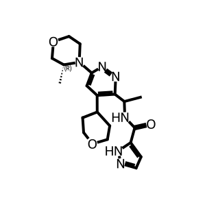 CC(NC(=O)c1ccn[nH]1)c1nnc(N2CCOC[C@H]2C)cc1C1CCOCC1